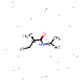 CC(=O)[C@H](C)NC(=O)[C@H](C)CC(C)C